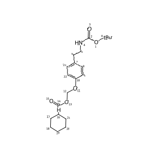 CC(C)(C)OC(=O)NCCc1ccc(OCO[PH](=O)C2CCCCC2)cc1